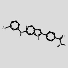 CC(=O)c1cccc(Nc2cc3[nH]c(-c4ccc(C(=O)N(C)C)cc4)cc3cn2)c1